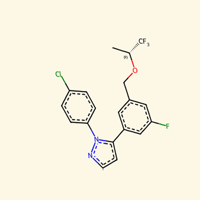 C[C@@H](OCc1cc(F)cc(-c2c[c]nn2-c2ccc(Cl)cc2)c1)C(F)(F)F